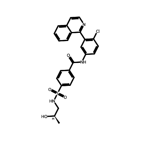 C[C@@H](O)CNS(=O)(=O)c1ccc(C(=O)Nc2ccc(Cl)c(-c3nccc4ccccc34)c2)cc1